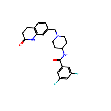 O=C1CCc2ccc(CN3CCC(NC(=O)c4cc(F)cc(F)c4)CC3)cc2N1